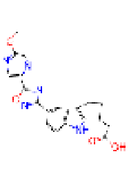 COc1cnc(-c2nc(-c3ccc4[nH]c5c(c4c3)CCC5CC(=O)O)no2)cn1